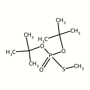 CSP(=O)(OC(C)(C)C)OC(C)(C)C